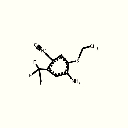 [C-]#[N+]c1cc(SCC)c(N)cc1C(F)(F)F